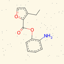 CCc1ccoc1C(=O)Oc1ccccc1N